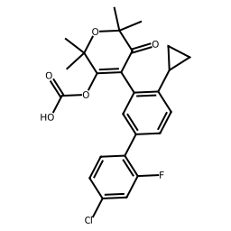 CC1(C)OC(C)(C)C(OC(=O)O)=C(c2cc(-c3ccc(Cl)cc3F)ccc2C2CC2)C1=O